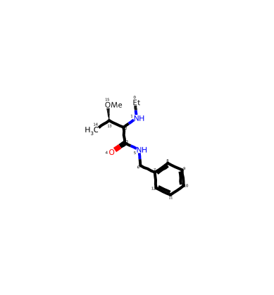 CCNC(C(=O)NCc1ccccc1)[C@@H](C)OC